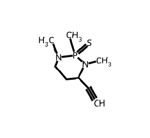 C#CC1CCN(C)P(C)(=S)N1C